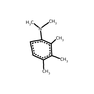 Cc1[c]cc(N(C)C)c(C)c1C